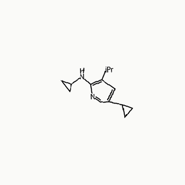 CC(C)c1cc(C2CC2)cnc1NC1CC1